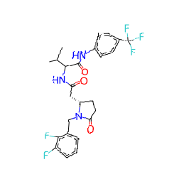 CC(C)C(NC(=O)C[C@@H]1CCC(=O)N1Cc1cccc(F)c1F)C(=O)Nc1ccc(C(F)(F)F)cc1